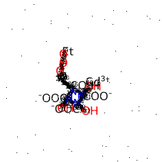 CCOCCOCCOc1ccc(CCCC(C(=O)O)N2CCN(C(CCO)C(=O)[O-])CCN(C(CCO)C(=O)[O-])CCN(C(CCO)C(=O)[O-])CC2)cc1.[Gd+3]